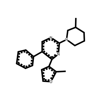 Cc1occc1-c1nc(N2CCCC(C)C2)ncc1-c1ccccc1